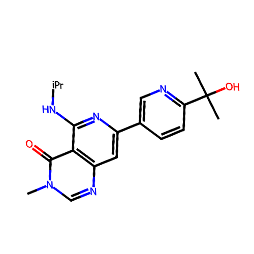 CC(C)Nc1nc(-c2ccc(C(C)(C)O)nc2)cc2ncn(C)c(=O)c12